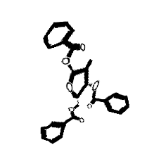 CC1[C@H](OC(=O)c2ccccc2)O[C@@H](COC(=O)c2ccccc2)[C@H]1OC(=O)c1ccccc1